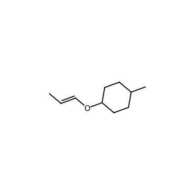 CC=COC1CCC(C)CC1